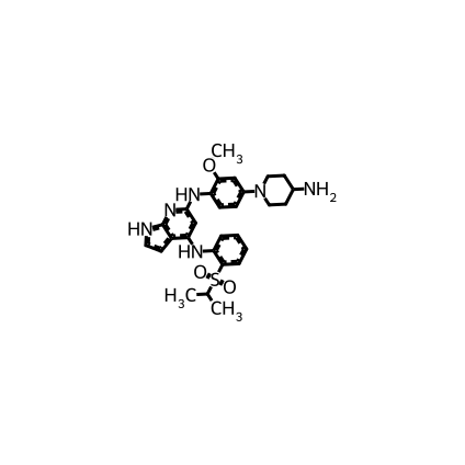 COc1cc(N2CCC(N)CC2)ccc1Nc1cc(Nc2ccccc2S(=O)(=O)C(C)C)c2cc[nH]c2n1